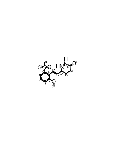 COc1cccc(S(C)(=O)=O)c1/C=C/C1CCC(=O)NN1